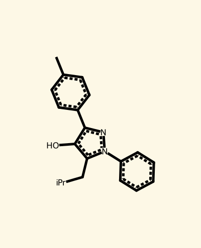 Cc1ccc(-c2nn(-c3ccccc3)c(CC(C)C)c2O)cc1